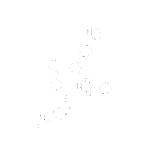 C[C@@H]1C=CN=C(c2ccc([C@@]3(C)C=C(c4ccccc4)CC(C)(c4nc(-c5ccccc5)nc(-c5cc(-c6ccc(-c7ccccn7)cc6)cc(C6C=CC=C[C@@H]6C)c5)n4)C3)cc2)C1